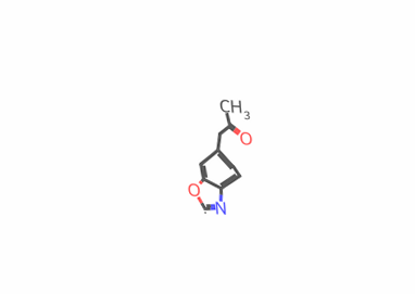 CC(=O)Cc1ccc2n[c]oc2c1